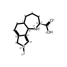 O=C(O)[C@@H]1CCCC2CC=C3CN(I)C=C3C2N1